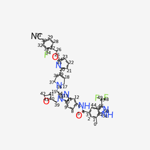 Cc1cc(C(=O)Nc2ccc3c(c2)nc(CN2CC=C(c4cccc(OCc5ccc(C#N)cc5F)n4)CC2)n3C[C@@H]2CCO2)cc2c(C(F)F)n[nH]c12